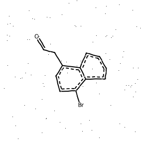 O=CCc1ccc(Br)c2ccccc12